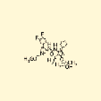 CCc1c(OCC(C)(C)O)nn(-c2ccccc2)c1NC(=O)N[C@@H]1CN(CCOC)C[C@H]1c1ccc(F)c(F)c1